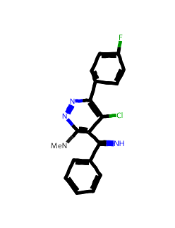 CNc1nnc(-c2ccc(F)cc2)c(Cl)c1C(=N)c1ccccc1